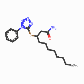 CCCCCCCCCCCCCCCCCC(CC(N)=O)Sc1nnnn1-c1ccccc1